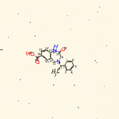 CC(c1ccccc1)N1CC(=O)Nc2ccc(C(=O)O)cc2C1